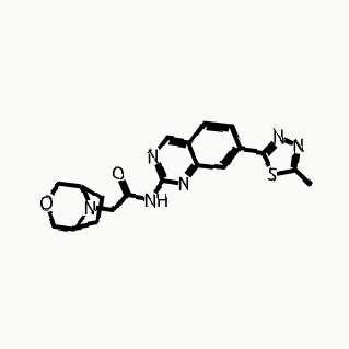 Cc1nnc(-c2ccc3cnc(NC(=O)CN4C5CCC4COC5)nc3c2)s1